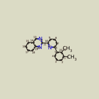 Cc1cccc(-c2cccc(-c3ncc4ccccc4n3)n2)c1C